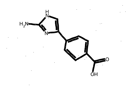 Nc1nc(-c2ccc(C(=O)O)cc2)c[nH]1